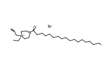 C=CC[N+]1(CC)CCN(C(=O)CCCCCCCCCCCCCCCCC)CC1.[Br-]